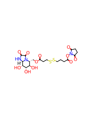 O=C(CCSSCCCC(=O)ON1C(=O)CCC1=O)OC[C@@H]1[C@@H](O)[C@H](O)[C@H](O)[C@H]2NC(=O)C(=O)N12